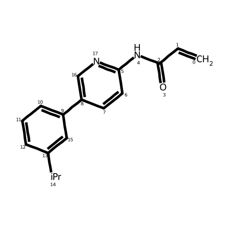 C=CC(=O)Nc1ccc(-c2cccc(C(C)C)c2)cn1